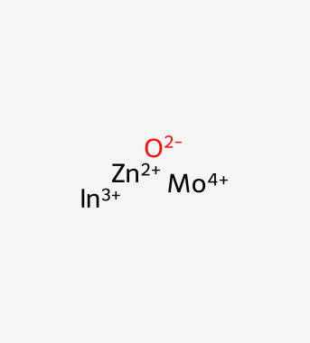 [In+3].[Mo+4].[O-2].[Zn+2]